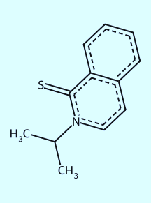 CC(C)n1ccc2ccccc2c1=S